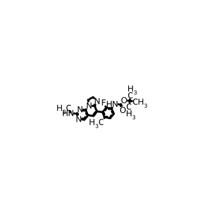 CNc1ncc2c(n1)N1CCN=C1C(c1c(C)ccc(NC(=O)OC(C)(C)C)c1F)=C2